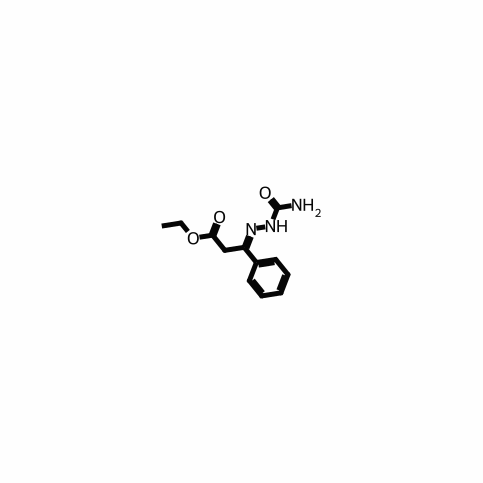 CCOC(=O)C/C(=N/NC(N)=O)c1ccccc1